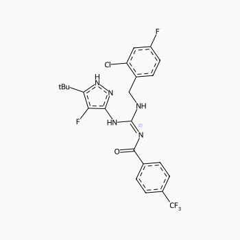 CC(C)(C)c1[nH]nc(N/C(=N\C(=O)c2ccc(C(F)(F)F)cc2)NCc2ccc(F)cc2Cl)c1F